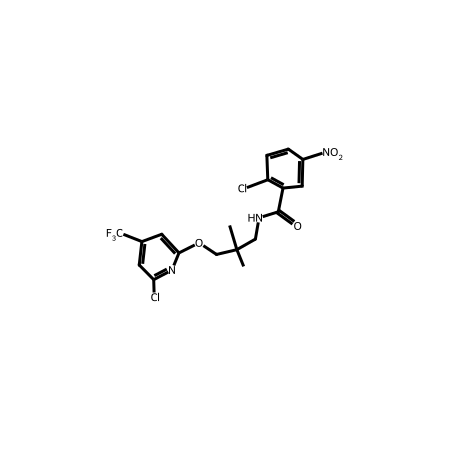 CC(C)(CNC(=O)c1cc([N+](=O)[O-])ccc1Cl)COc1cc(C(F)(F)F)cc(Cl)n1